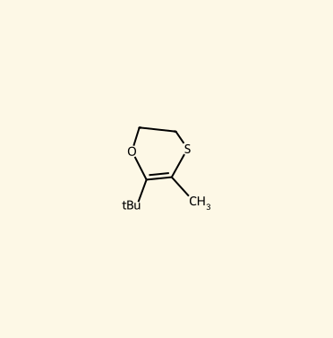 CC1=C(C(C)(C)C)OCCS1